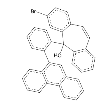 OC1(c2ccccc2-c2cc3ccccc3c3ccccc23)c2ccccc2C=Cc2ccc(Br)cc21